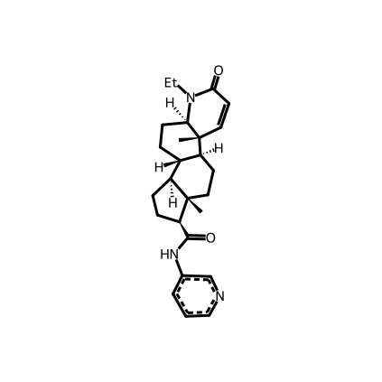 CCN1C(=O)C=C[C@]2(C)[C@H]3CC[C@]4(C)[C@@H](C(=O)Nc5cccnc5)CC[C@H]4[C@@H]3CC[C@@H]12